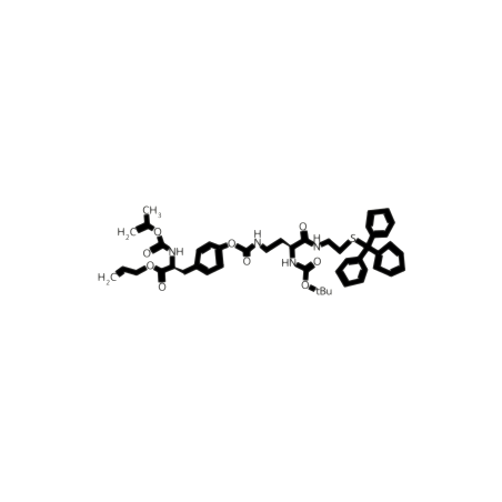 C=CCOC(=O)[C@H](Cc1ccc(OC(=O)NCC[C@H](NC(=O)OC(C)(C)C)C(=O)NCCSC(c2ccccc2)(c2ccccc2)c2ccccc2)cc1)NC(=O)OC(=C)C